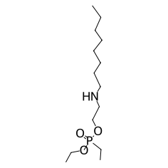 CCCCCCCCNCCOP(=O)(CC)OCC